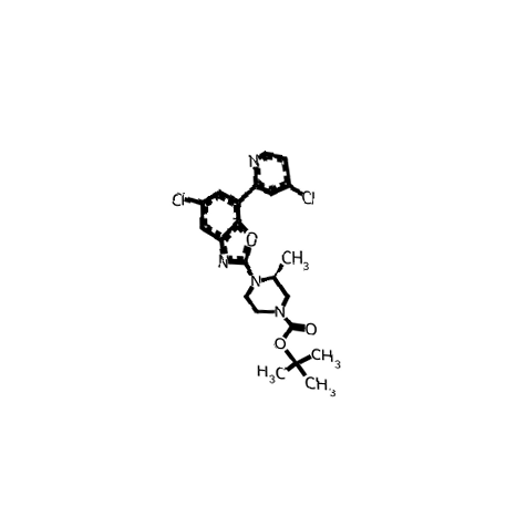 C[C@H]1CN(C(=O)OC(C)(C)C)CCN1c1nc2cc(Cl)cc(-c3cc(Cl)ccn3)c2o1